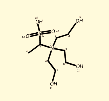 CC([N+](CCO)(CCO)CCO)S(=O)(=O)O